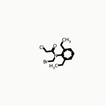 CCc1cccc(CC)c1N(CBr)C(=O)CCl